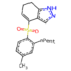 CCCCCc1cc(C)ccc1S(=O)(=O)C1=CCCc2[nH]n[c]c21